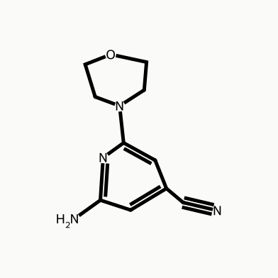 N#Cc1cc(N)nc(N2CCOCC2)c1